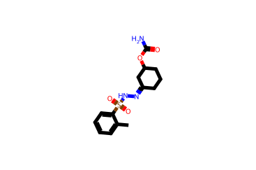 Cc1ccccc1S(=O)(=O)NN=C1CCCC(OC(N)=O)C1